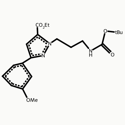 CCOC(=O)c1cc(-c2cccc(OC)c2)nn1CCCNC(=O)OC(C)(C)C